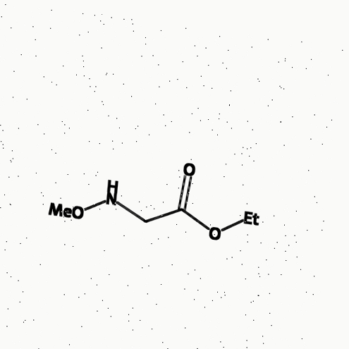 CCOC(=O)CNOC